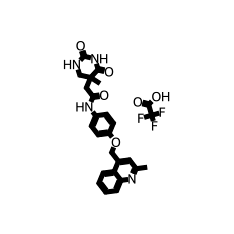 Cc1cc(COc2ccc(NC(=O)CC3(C)CNC(=O)NC3=O)cc2)c2ccccc2n1.O=C(O)C(F)(F)F